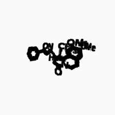 COc1cc2c(cc1OC)[C@@]13C[C@H](C)[C@@H](c4cc(-c5ccccc5)on4)[C@@H]1CC(=O)N3CC2